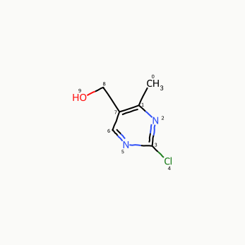 Cc1nc(Cl)ncc1CO